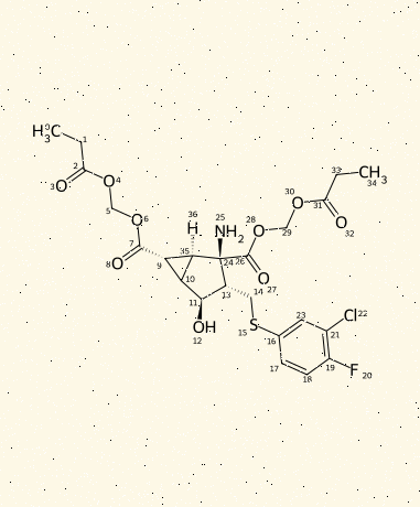 CCC(=O)OCOC(=O)[C@H]1C2[C@H](O)[C@@H](CSc3ccc(F)c(Cl)c3)[C@@](N)(C(=O)OCOC(=O)CC)[C@@H]21